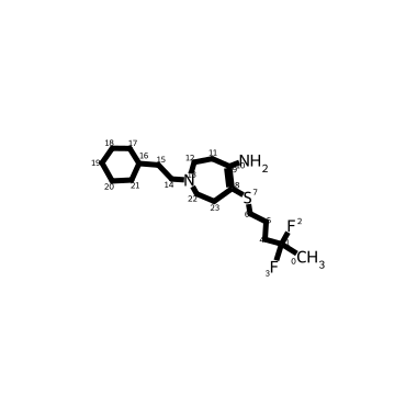 CC(F)(F)CCCSC1=C(N)CCN(CCC2CCCCC2)CC1